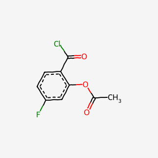 CC(=O)Oc1cc(F)ccc1C(=O)Cl